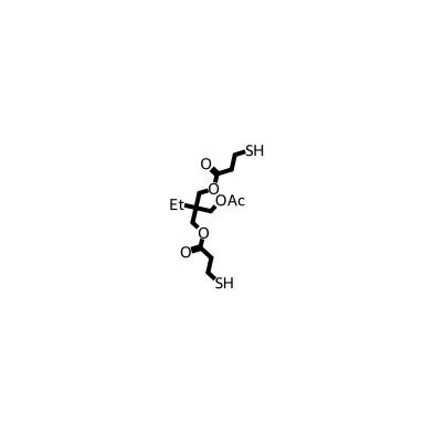 CCC(COC(C)=O)(COC(=O)CCS)COC(=O)CCS